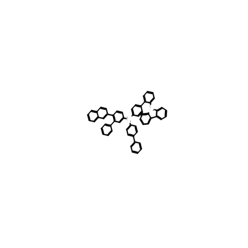 c1ccc(-c2ccc(N(c3ccc(-c4ccccc4-n4c5ccccc5c5ccccc54)cc3)c3ccc(-c4ccc5ccccc5c4)c(-c4ccccc4)c3)cc2)cc1